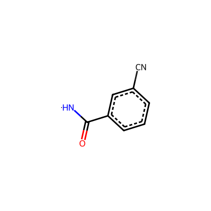 N#Cc1cccc(C([NH])=O)c1